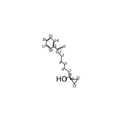 C=C(CCCCCCC(O)=C1CC1)c1ccccc1